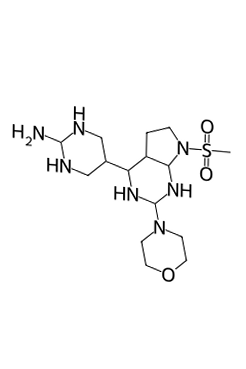 CS(=O)(=O)N1CCC2C(C3CNC(N)NC3)NC(N3CCOCC3)NC21